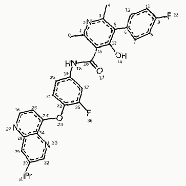 Cc1nc(C)c(-c2ccc(F)cc2)c(O)c1C(=O)Nc1ccc(Oc2ccnc3cc(C(C)C)cnc23)c(F)c1